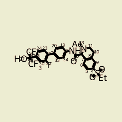 CCS(=O)(=O)c1ccc2c(c1)CCN(C(C)=O)C2C(=O)Nc1ccc(-c2ccc(C(O)(C(F)(F)F)C(F)(F)F)cc2F)cc1